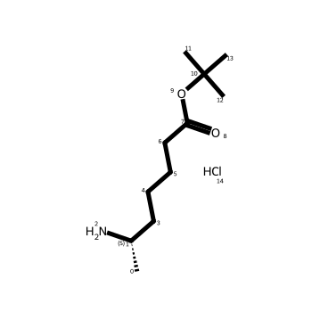 C[C@H](N)CCCCC(=O)OC(C)(C)C.Cl